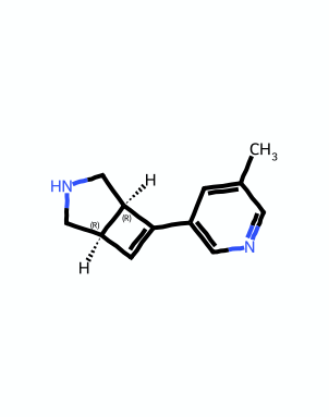 Cc1cncc(C2=C[C@H]3CNC[C@@H]23)c1